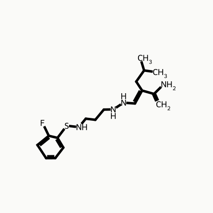 C=C(N)/C(=C/NNCCCNSc1ccccc1F)CC(C)C